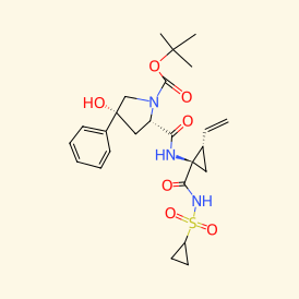 C=C[C@@H]1C[C@]1(NC(=O)[C@@H]1C[C@@](O)(c2ccccc2)CN1C(=O)OC(C)(C)C)C(=O)NS(=O)(=O)C1CC1